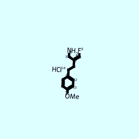 COc1ccc(CCC(=CF)CN)cc1.Cl